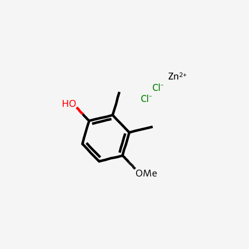 COc1ccc(O)c(C)c1C.[Cl-].[Cl-].[Zn+2]